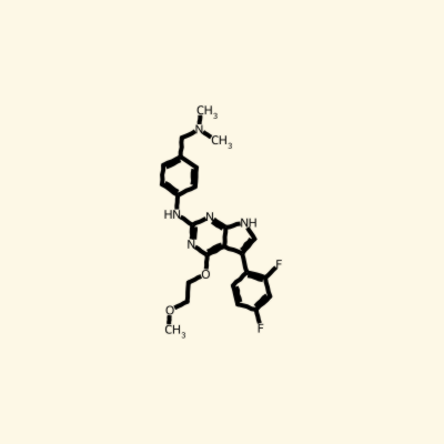 COCCOc1nc(Nc2ccc(CN(C)C)cc2)nc2[nH]cc(-c3ccc(F)cc3F)c12